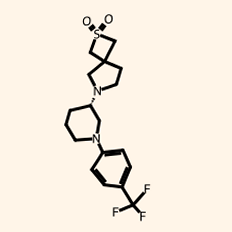 O=S1(=O)CC2(CCN([C@H]3CCCN(c4ccc(C(F)(F)F)cc4)C3)C2)C1